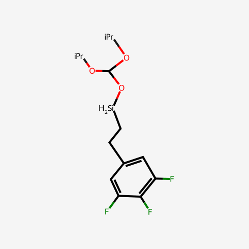 CC(C)OC(O[SiH2]CCc1cc(F)c(F)c(F)c1)OC(C)C